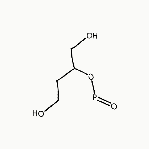 O=POC(CO)CCO